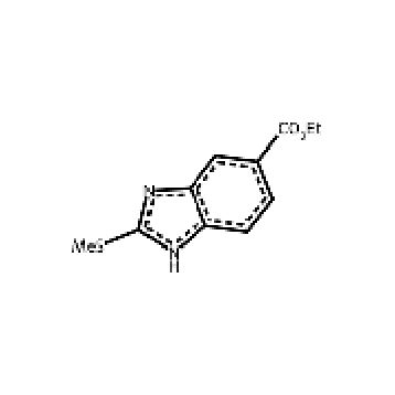 CCOC(=O)c1ccc2[nH]c(SC)nc2c1